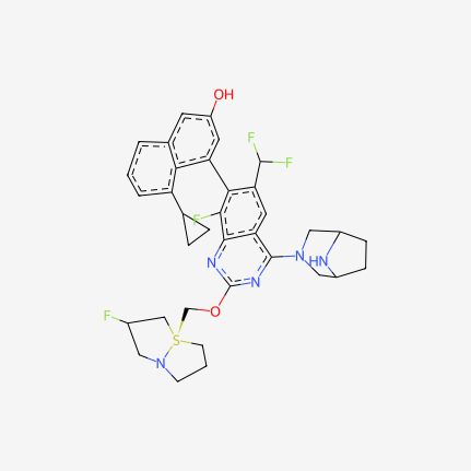 Oc1cc(-c2c(C(F)F)cc3c(N4CC5CCC(C4)N5)nc(OC[S@@]45CCCN4CC(F)C5)nc3c2F)c2c(C3CC3)cccc2c1